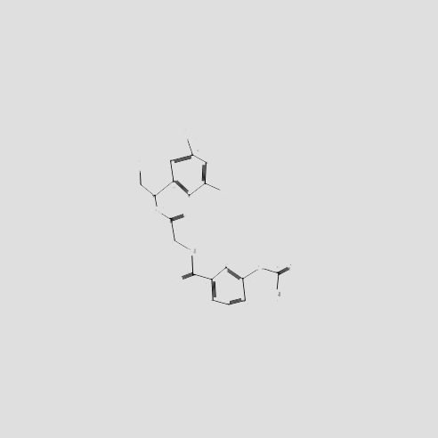 CCOC(=O)CC(NC(=O)CNC(=O)c1cccc(NC(=N)N)c1)c1cc(C(F)(F)F)cc(C(F)(F)F)c1